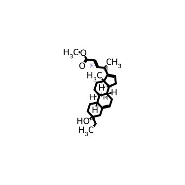 CC[C@]1(O)CC[C@H]2C(=CC[C@@H]3[C@@H]2CC[C@]2(C)C([C@H](C)/C=C/C(=O)OC)=CC[C@@H]32)C1